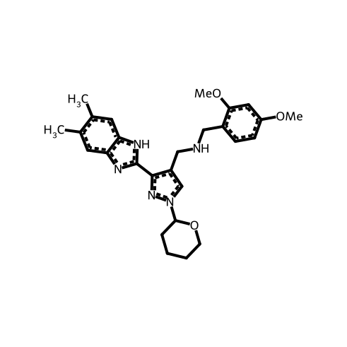 COc1ccc(CNCc2cn(C3CCCCO3)nc2-c2nc3cc(C)c(C)cc3[nH]2)c(OC)c1